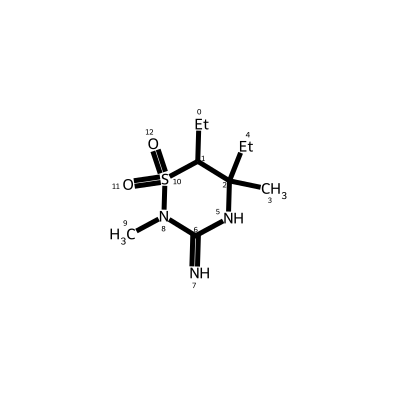 CCC1C(C)(CC)NC(=N)N(C)S1(=O)=O